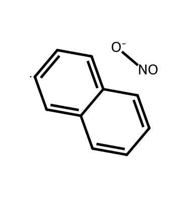 O=[NH+][O-].[c]1ccc2ccccc2c1